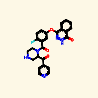 O=C(c1ccncc1)C1CNCCN1C(=O)c1cc(Oc2n[nH]c(=O)c3ccccc23)ccc1F